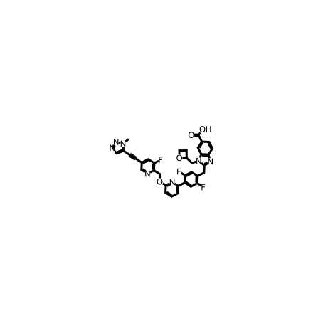 Cn1nncc1C#Cc1cnc(COc2cccc(-c3cc(F)c(Cc4nc5ccc(C(=O)O)cc5n4CC4CCO4)cc3F)n2)c(F)c1